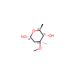 CO[C@@]1(C)C[C@H](O)O[C@@H](C)[C@@H]1O